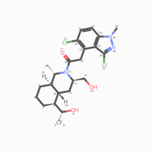 C[C@H]1[C@@H]2CCC[C@H]([C@H](O)C(F)(F)F)[C@H]2C[C@H](CO)N1C(=O)Cc1c(Cl)ccc2c1c(Cl)nn2C